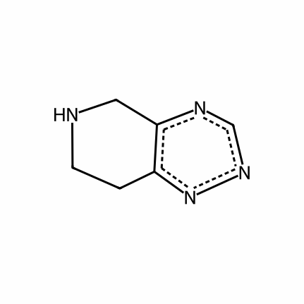 c1nnc2c(n1)CNCC2